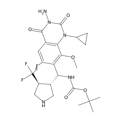 COc1c(C(NC(=O)OC(C)(C)C)[C@@H]2CNC[C@H]2C(F)(F)F)c(F)cc2c(=O)n(N)c(=O)n(C3CC3)c12